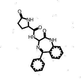 O=C1CCC(C(=O)NC2N=C(c3ccccc3)c3ccccc3NC2=O)N1